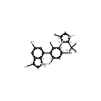 Cc1c(-c2cc(F)cc3c(I)c[nH]c23)c(F)cc2c1-n1c(C)cnc1C(C)(C)N2